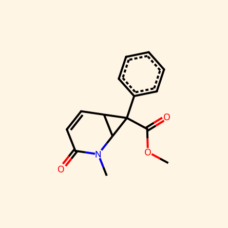 COC(=O)C1(c2ccccc2)C2C=CC(=O)N(C)C21